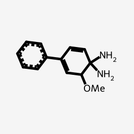 COC1C=C(c2ccccc2)C=CC1(N)N